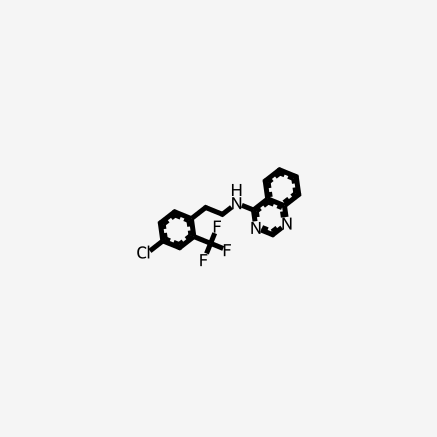 FC(F)(F)c1cc(Cl)ccc1CCNc1ncnc2ccccc12